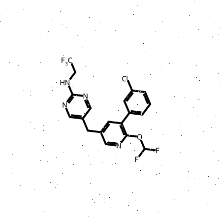 FC(F)Oc1ncc(Cc2cnc(NCC(F)(F)F)nc2)cc1-c1cccc(Cl)c1